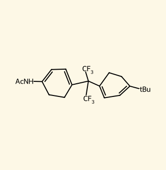 CC(=O)NC1=CC=C(C(C2=CC=C(C(C)(C)C)CC2)(C(F)(F)F)C(F)(F)F)CC1